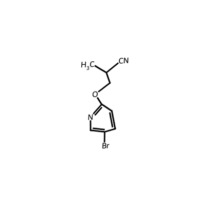 CC(C#N)COc1ccc(Br)cn1